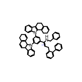 C1=CC2=C(C=CC3c4ccccc4N(c4cc(/C(=C/Cc5ccccc5-c5ccccc5)NCc5ccccc5)cc(-n5c6c(c7ccccc75)CCC5=C6CCC=C5)c4)C23)CC1